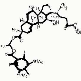 CC(=O)Nc1c(I)c(NC(C)=O)c(I)c(C(=O)OC(C)OC(=O)[C@@]2(O)CC[C@@]3(C)[C@H](C[C@@H](O)[C@@H]4[C@@H]3C[C@H](O)[C@]3(C)[C@@H]([C@H](C)CCC(=O)OC(C)(C)C)CC[C@@H]43)C2)c1I